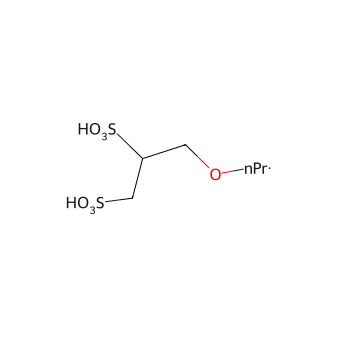 CC[CH]OCC(CS(=O)(=O)O)S(=O)(=O)O